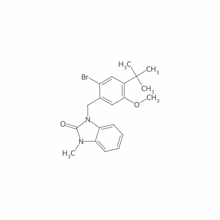 COc1cc(Cn2c(=O)n(C)c3ccccc32)c(Br)cc1C(C)(C)C